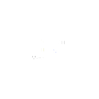 CN=[SH](=S)OC